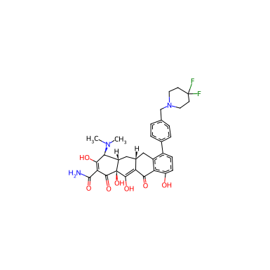 CN(C)[C@@H]1C(O)=C(C(N)=O)C(=O)[C@@]2(O)C(O)=C3C(=O)c4c(O)ccc(-c5ccc(CN6CCC(F)(F)CC6)cc5)c4C[C@H]3C[C@@H]12